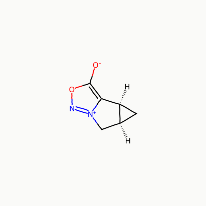 [O-]c1on[n+]2c1[C@H]1C[C@H]1C2